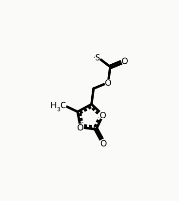 Cc1oc(=O)oc1COC(=O)[S]